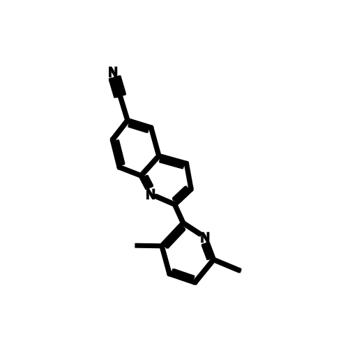 Cc1ccc(C)c(-c2ccc3cc(C#N)ccc3n2)n1